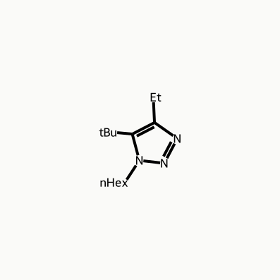 CCCCCCn1nnc(CC)c1C(C)(C)C